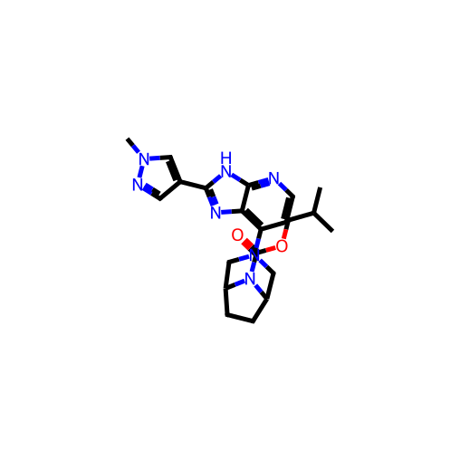 CC(C)COC(=O)N1C2CCC1CN(c1ccnc3[nH]c(-c4cnn(C)c4)nc13)C2